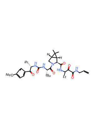 C=CCNC(=O)C(=O)C(CC)NC(=O)[C@@H]1[C@@H]2[C@H](CN1C(=O)[C@@H](NC(=O)N[C@H](C(=O)c1ccc(OC)cc1)C(C)C)C(C)(C)C)C2(C)C